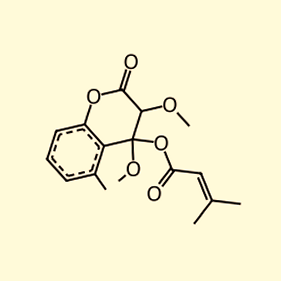 COC1C(=O)Oc2cccc(C)c2C1(OC)OC(=O)C=C(C)C